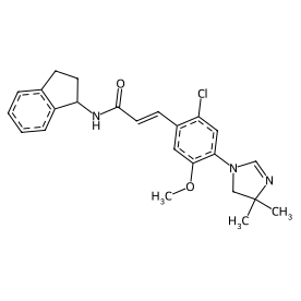 COc1cc(/C=C/C(=O)NC2CCc3ccccc32)c(Cl)cc1N1C=NC(C)(C)C1